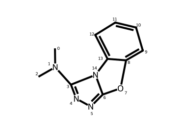 CN(C)c1nnc2oc3ccccc3n12